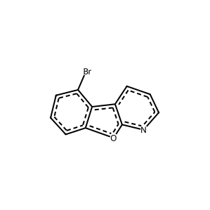 Brc1cccc2oc3ncccc3c12